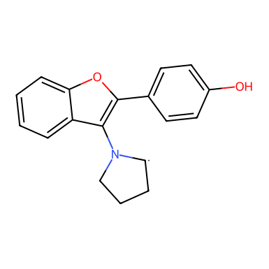 Oc1ccc(-c2oc3ccccc3c2N2[CH]CCC2)cc1